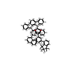 CC1(C)c2cccc(-c3cccc(-c4ccc(-n5c6ccccc6c6ccc7c8ccccc8n(-c8nc(-c9ccccc9)nc(-c9cccc%10ccccc9%10)n8)c7c65)cc4)c3)c2C(C)(C)C1(C)C